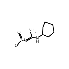 N/C(=C\[N+](=O)[O-])NC1CCCCC1